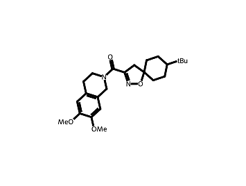 COc1cc2c(cc1OC)CN(C(=O)C1=NOC3(CCC(C(C)(C)C)CC3)C1)CC2